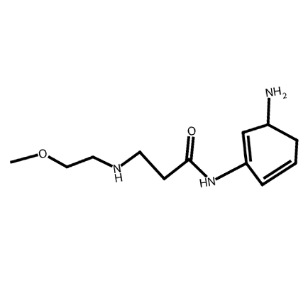 COCCNCCC(=O)NC1=CC(N)CC=C1